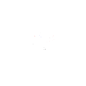 CCCCCC(=O)N(C)CCS(=O)(=O)O.[Na]